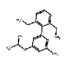 CCc1cccc(CC)c1-c1cc(OC(C)C)cc(C)n1